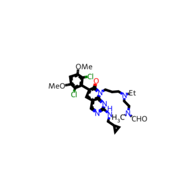 CCN(CCCn1c(=O)c(-c2c(Cl)c(OC)cc(OC)c2Cl)cc2cnc(NCC3CC3)nc21)CCN(C)C=O